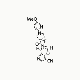 COc1cnc(N2CCC(F)(C(=O)N3C[C@@H]4C[C@H]3c3cncc(C#N)c3O4)CC2)nc1